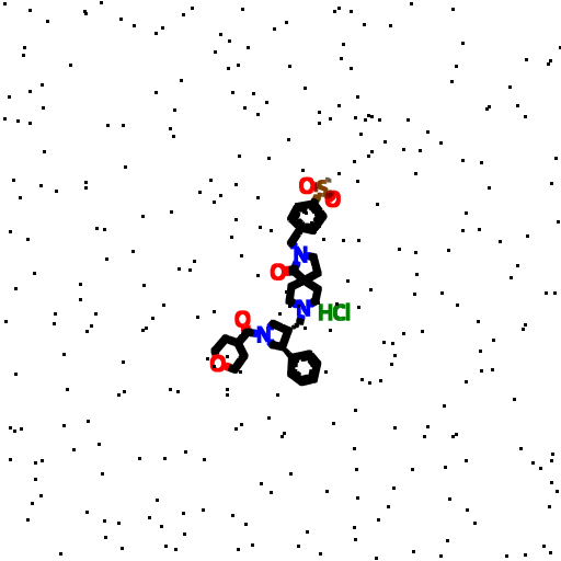 CS(=O)(=O)c1ccc(CN2CCC3(CCN(C[C@H]4CN(C(=O)C5CCOCC5)C[C@@H]4c4ccccc4)CC3)C2=O)cc1.Cl